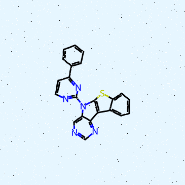 c1ccc(-c2ccnc(-n3c4cncnc4c4c5ccccc5sc43)n2)cc1